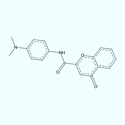 CN(C)c1ccc(NC(=O)c2cc(=O)c3ccccc3o2)cc1